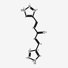 O=C(C=Cc1c[nH]nn1)C=Cc1c[nH]nn1